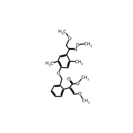 COC=C(C(=O)OC)c1ccccc1COc1cc(C)c(C(COC)=NOC)cc1C